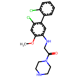 COc1cc(Cl)c(-c2ccccc2Cl)cc1NCC(=O)N1CCNCC1